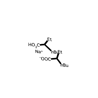 CCCCC(CC)C(=O)O.CCCCC(CC)C(=O)[O-].[Na+]